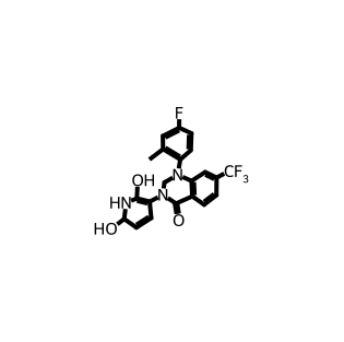 Cc1cc(F)ccc1N1CN(C2=C(O)NC(O)C=C2)C(=O)c2ccc(C(F)(F)F)cc21